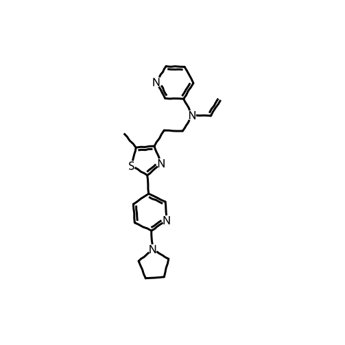 C=CN(CCc1nc(-c2ccc(N3CCCC3)nc2)sc1C)c1cccnc1